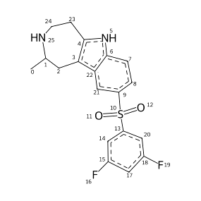 CC1Cc2c([nH]c3ccc(S(=O)(=O)c4cc(F)cc(F)c4)cc23)CCN1